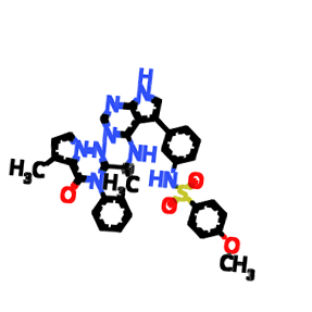 COc1ccc(S(=O)(=O)Nc2cccc(-c3c[nH]c4ncnc(N[C@@H](C)c5nn6ccc(C)c6c(=O)n5-c5ccccc5)c34)c2)cc1